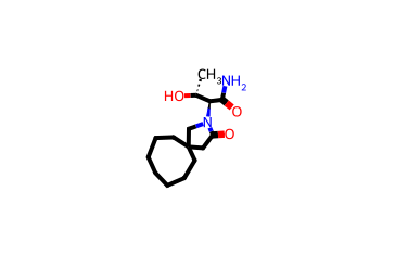 C[C@@H](O)[C@@H](C(N)=O)N1CC2(CCCCCCC2)CC1=O